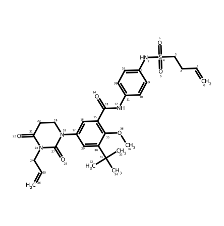 C=CCCS(=O)(=O)Nc1ccc(NC(=O)c2cc(N3CCC(=O)N(CC=C)C3=O)cc(C(C)(C)C)c2OC)cc1